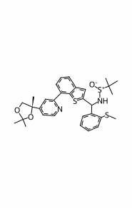 CSc1ccccc1C(N[S+]([O-])C(C)(C)C)c1cc2cccc(-c3cc([C@@]4(C)COC(C)(C)O4)ccn3)c2s1